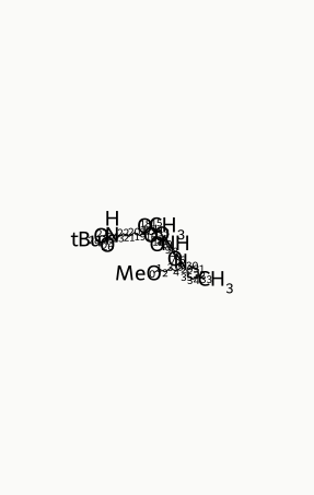 COCCCC/C(=N\OCCNC(=O)OC(C)OC(=O)CCCCCNC(=O)OC(C)(C)C)c1ccc(C)cc1